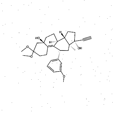 C#C[C@]1(O)CC[C@H]2[C@@H]3CC[C@@]4(O)CC(OC)(OC)CCC4=C3[C@@H](c3cccc(OC)c3)C[C@@]21C